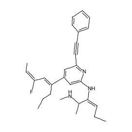 C/C=C(F)\C=C(/CCC)c1cc(C#Cc2ccccc2)nc(N/C(=C/CC)C(C)NC)c1